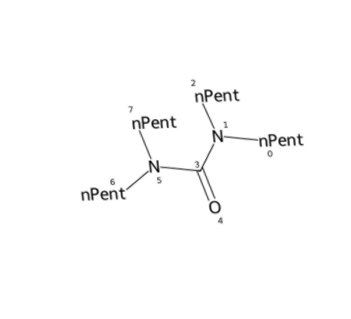 CCCCCN(CCCCC)C(=O)N(CCCCC)CCCCC